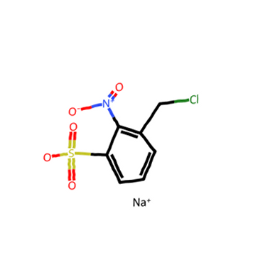 O=[N+]([O-])c1c(CCl)cccc1S(=O)(=O)[O-].[Na+]